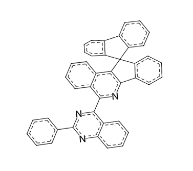 c1ccc(-c2nc(-c3nc4c(c5ccccc35)C3(c5ccccc5-c5ccccc53)c3ccccc3-4)c3ccccc3n2)cc1